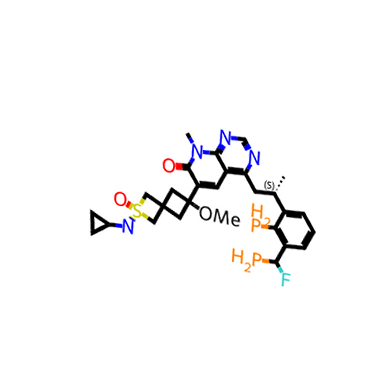 COC1(c2cc3c(C[C@H](C)c4cccc(C(F)P)c4P)ncnc3n(C)c2=O)CC2(C1)CS(=O)(=NC1CC1)C2